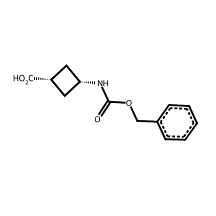 O=C(N[C@H]1C[C@@H](C(=O)O)C1)OCc1ccccc1